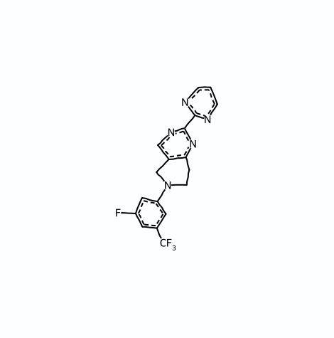 Fc1cc(N2CCc3nc(-c4ncccn4)ncc3C2)cc(C(F)(F)F)c1